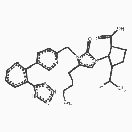 CCCCc1cn(C2C(C(=O)O)CCC2C(C)C)c(=O)n1Cc1ccc(-c2ccccc2-c2nnn[nH]2)cn1